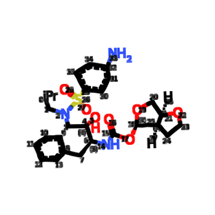 CC(C)CN(C[C@@H](O)[C@H](Cc1ccccc1)NC(=O)O[C@H]1OC[C@H]2OCC[C@@H]12)S(=O)(=O)c1ccc(N)cc1